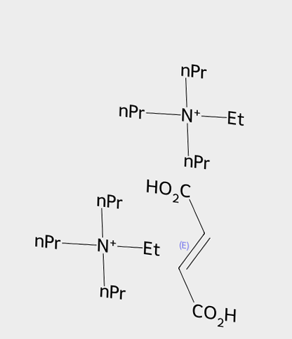 CCC[N+](CC)(CCC)CCC.CCC[N+](CC)(CCC)CCC.O=C(O)/C=C/C(=O)O